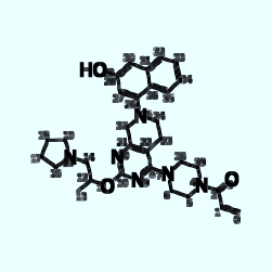 C=CC(=O)N1CCN(c2nc(OC(C)CN3CCCC3)nc3c2CCN(c2cc(O)cc4ccccc24)C3)CC1